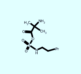 CC(C)CCNS(=O)(=O)OC(=O)C(C)(C)N